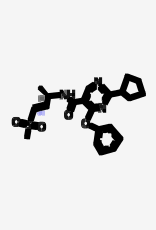 C[C@H](/C=C/S(C)(=O)=O)NC(=O)c1cnc(C2CCCC2)nc1Oc1ccccc1